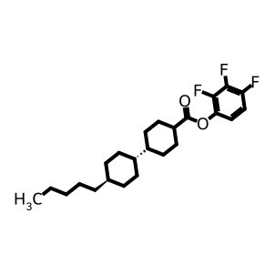 CCCCC[C@H]1CC[C@H](C2CCC(C(=O)Oc3ccc(F)c(F)c3F)CC2)CC1